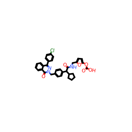 O=C(O)Oc1ccc(CNC(=O)C(c2ccc(Cn3nc(-c4ccc(Cl)cc4)c4ccccc4c3=O)cc2)C2CCCC2)o1